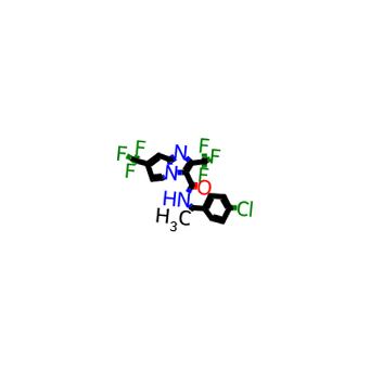 CC(NC(=O)c1c(C(F)(F)F)nc2cc(C(F)(F)F)ccn12)c1ccc(Cl)cc1